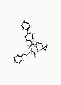 O=C(NOCc1ccccc1)[C@H]1CC2(CC2)CN[C@@H]1C(=O)N1CCN(c2ccccc2)CC1